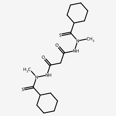 CN(NC(=O)CC(=O)NN(C)C(=S)C1CCCCC1)C(=S)C1CCCCC1